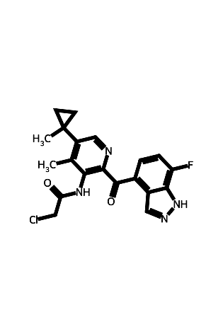 Cc1c(C2(C)CC2)cnc(C(=O)c2ccc(F)c3[nH]ncc23)c1NC(=O)CCl